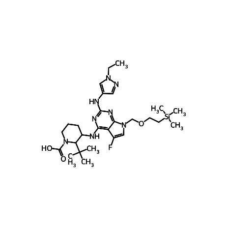 CCn1cc(Nc2nc(NC3CCCN(C(=O)O)C3C(C)(C)C)c3c(F)cn(COCC[Si](C)(C)C)c3n2)cn1